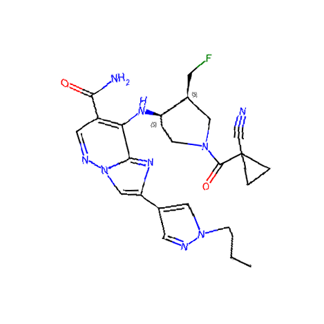 CCCn1cc(-c2cn3ncc(C(N)=O)c(N[C@@H]4CN(C(=O)C5(C#N)CC5)C[C@@H]4CF)c3n2)cn1